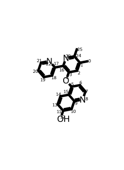 Cc1cc(Oc2ccnc3cc(O)ccc23)c(-c2ccccn2)nc1C